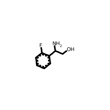 NC(CO)c1ccccc1F